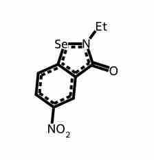 CCn1[se]c2ccc([N+](=O)[O-])cc2c1=O